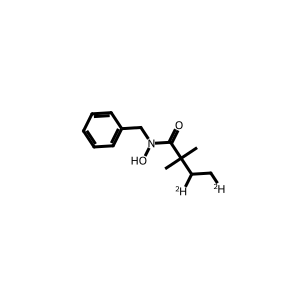 [2H]CC([2H])C(C)(C)C(=O)N(O)Cc1ccccc1